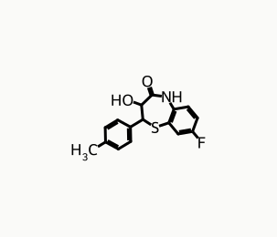 Cc1ccc(C2Sc3cc(F)ccc3NC(=O)C2O)cc1